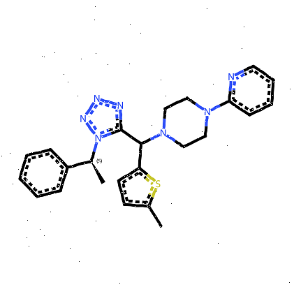 Cc1ccc(C(c2nnnn2[C@@H](C)c2ccccc2)N2CCN(c3ccccn3)CC2)s1